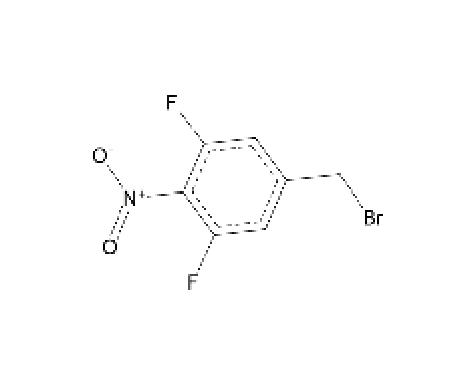 O=[N+]([O-])c1c(F)cc(CBr)cc1F